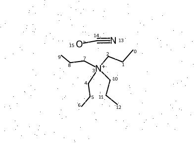 CCC[N+](CCC)(CCC)CCC.N#C[O-]